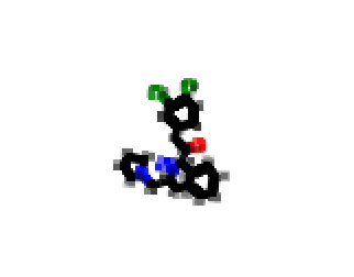 O=C(Cc1ccc(Cl)c(Cl)c1)[C@@H]1N[C@H](CN2CCCC2)Cc2ccccc21